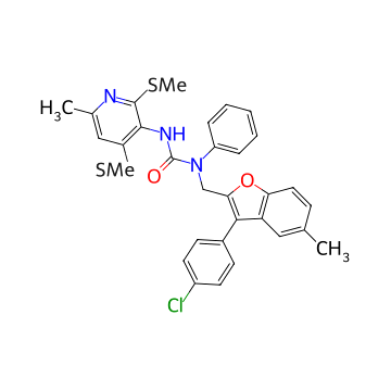 CSc1cc(C)nc(SC)c1NC(=O)N(Cc1oc2ccc(C)cc2c1-c1ccc(Cl)cc1)c1ccccc1